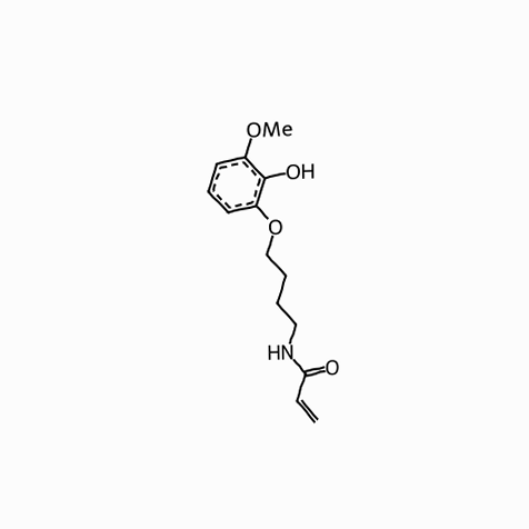 C=CC(=O)NCCCCOc1cccc(OC)c1O